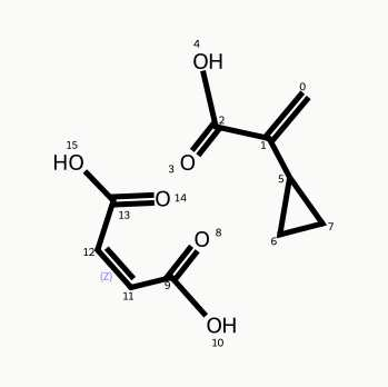 C=C(C(=O)O)C1CC1.O=C(O)/C=C\C(=O)O